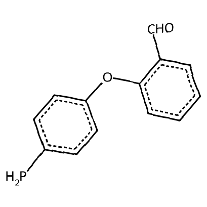 O=Cc1ccccc1Oc1ccc(P)cc1